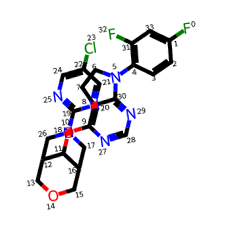 Fc1ccc(N2CCc3c(OC4C5COCC4CN(c4ncc(Cl)cn4)C5)ncnc32)c(F)c1